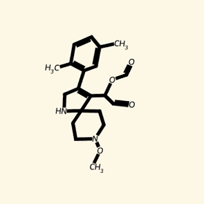 CON1CCC2(CC1)NCC(c1cc(C)ccc1C)=C2C(C=O)OC=O